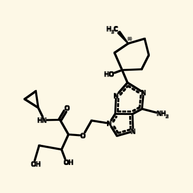 C[C@H]1CCCC(O)(c2nc(N)c3ncn(COC(C(=O)NC4CC4)C(O)CO)c3n2)C1